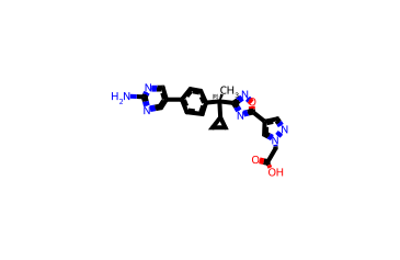 C[C@@](c1ccc(-c2cnc(N)nc2)cc1)(c1noc(-c2cnn(CC(=O)O)c2)n1)C1CC1